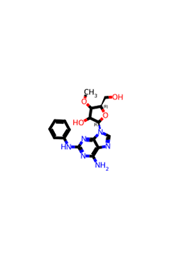 COC1C(O)[C@H](n2cnc3c(N)nc(Nc4ccccc4)nc32)O[C@@H]1CO